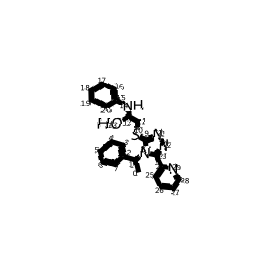 CC(c1ccccc1)n1c(SCC(O)Nc2ccccc2)nnc1-c1ccccn1